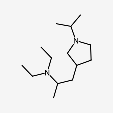 CCN(CC)C(C)CC1CCN(C(C)C)C1